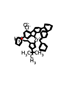 CCCC1C=C(C(C)(C)C)C=[C]1[Zr+2](=[C](c1ccccc1)c1ccccc1)[CH]1c2cc(-c3ccccc3)ccc2-c2ccc(-c3ccccc3)cc21.[Cl-].[Cl-]